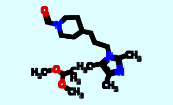 COC(C)OC.Cc1nc(C)n(CCCC2CCN(C=O)CC2)c1C